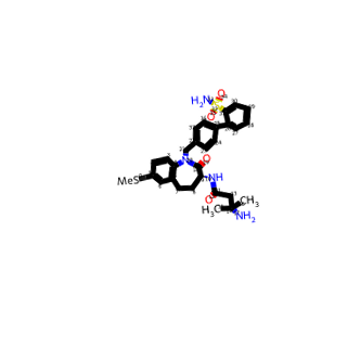 CSc1ccc2c(c1)CC[C@@H](NC(=O)CC(C)(C)N)C(=O)N2Cc1ccc(-c2ccccc2S(N)(=O)=O)cc1